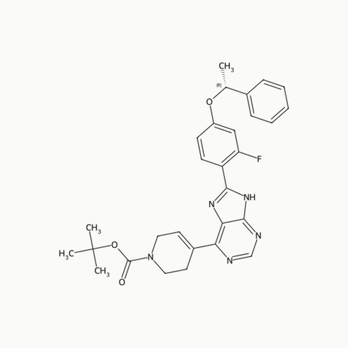 C[C@@H](Oc1ccc(-c2nc3c(C4=CCN(C(=O)OC(C)(C)C)CC4)ncnc3[nH]2)c(F)c1)c1ccccc1